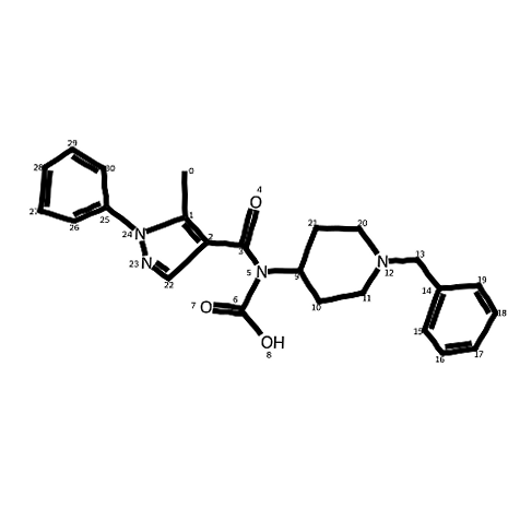 Cc1c(C(=O)N(C(=O)O)C2CCN(Cc3ccccc3)CC2)cnn1-c1ccccc1